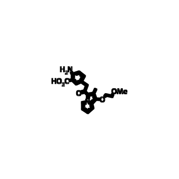 COCCOc1c(C)c(C(=O)Cc2ccc(N)c(C(=O)O)c2)n2ccccc12